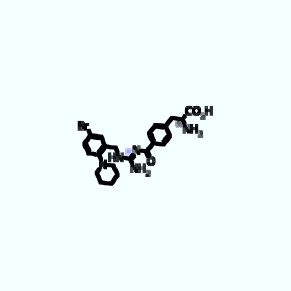 N/C(=N\C(=O)c1ccc(C[C@H](N)C(=O)O)cc1)NCc1cc(Br)ccc1N1CCCCC1